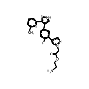 Cc1cccc(-c2n[nH]cc2-c2ccc(F)c(-c3cnn(CC(=O)OCCN)c3)c2)n1